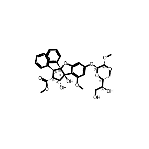 COC(=O)[C@H]1[C@@H](O)[C@@]2(O)c3c(OC)cc(O[C@@H]4O[C@@H]([C@@H](O)CO)CO[C@H]4OC)cc3O[C@@]2(c2ccccc2)[C@@H]1c1ccccc1